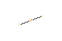 FCCCCCC[P][P]CCCCCCF